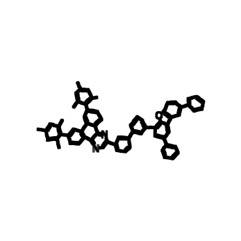 Cc1cc(C)c(-c2ccc3c(c2)c2cc(-c4c(C)cc(C)cc4C)ccc2c2nc(-c4cccc(-c5cccc(-c6cc(-c7ccccc7)cc7c6oc6ccc(-c8ccccc8)cc67)c5)c4)cnc32)c(C)c1